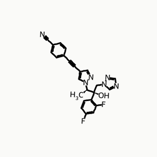 C[C@@H](n1cc(C#Cc2ccc(C#N)cc2)cn1)[C@](O)(Cn1cncn1)c1ccc(F)cc1F